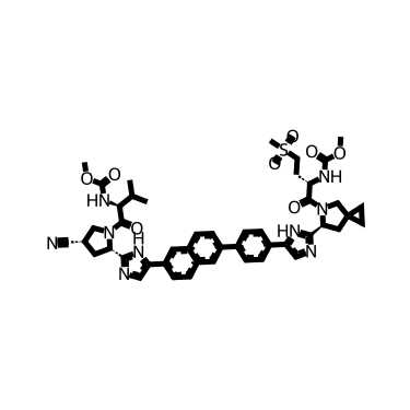 COC(=O)N[C@@H](CCS(C)(=O)=O)C(=O)N1CC2(CC2)C[C@H]1c1ncc(-c2ccc(-c3ccc4cc(-c5cnc([C@@H]6C[C@H](C#N)CN6C(=O)[C@@H](NC(=O)OC)C(C)C)[nH]5)ccc4c3)cc2)[nH]1